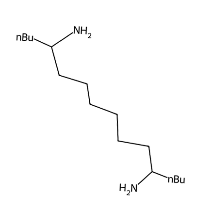 CCCCC(N)CCCCCCC(N)CCCC